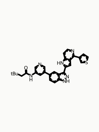 CC(C)(C)CC(=O)Nc1cncc(-c2ccc3[nH]nc(-c4cc5c(-c6ccsc6)nccc5[nH]4)c3c2)c1